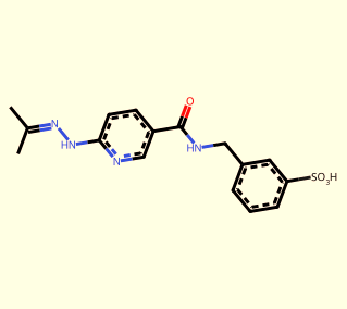 CC(C)=NNc1ccc(C(=O)NCc2cccc(S(=O)(=O)O)c2)cn1